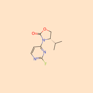 CC(C)[C@H]1COC(=O)N1c1ccnc(F)n1